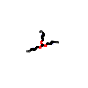 CCC/C=C/COC(OC/C=C/CCC)OC/C=C/CCC